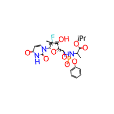 CC(C)OC(=O)C(C)NP(=O)(OC[C@H]1OC(n2ccc(=O)[nH]c2=O)[C@](C)(F)[C@@H]1O)Oc1ccccc1